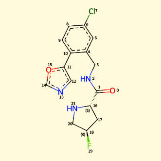 O=C(NCc1cc(Cl)ccc1-c1cnco1)[C@@H]1C[C@@H](F)CN1